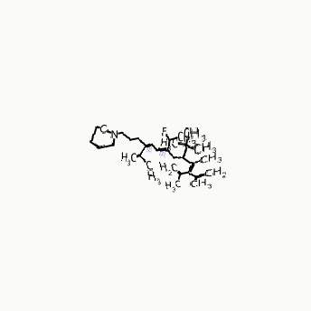 C=C(C)C(C(=C)C)=C(C)C(C/C(=C/C=C(/CCCN1CCCCC1)C(C)C)C(C)F)C(C)(C)C